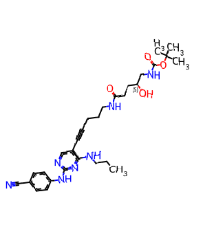 CCCNc1nc(Nc2ccc(C#N)cc2)ncc1C#CCCCNC(=O)CC[C@H](O)CNC(=O)OC(C)(C)C